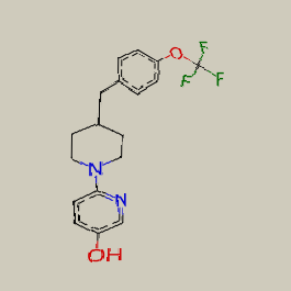 Oc1ccc(N2CCC(Cc3ccc(OC(F)(F)F)cc3)CC2)nc1